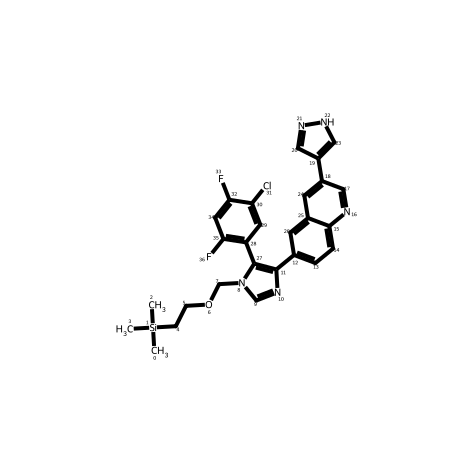 C[Si](C)(C)CCOCn1cnc(-c2ccc3ncc(-c4cn[nH]c4)cc3c2)c1-c1cc(Cl)c(F)cc1F